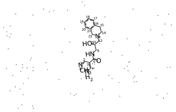 C/N=C\C(=C/N)C(=O)NC[C@@H](O)CN1CCc2ccccc2C1